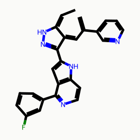 C=C(/C=c1/c(-c2cc3c(-c4cccc(F)c4)nccc3[nH]2)n[nH]/c1=C/C)c1cccnc1